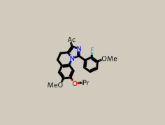 COc1cc2c(cc1OC(C)C)-n1c(-c3cccc(OC)c3F)nc(C(C)=O)c1CC2